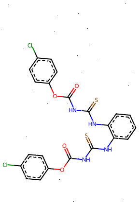 O=C(NC(=S)Nc1ccccc1NC(=S)NC(=O)Oc1ccc(Cl)cc1)Oc1ccc(Cl)cc1